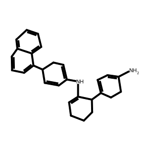 NC1=CC=C(C2CCCC=C2NC2=CCC(c3cccc4ccccc34)C=C2)CC1